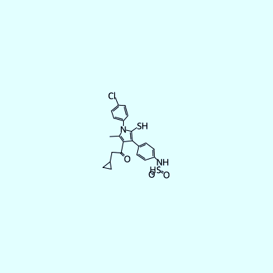 Cc1c(C(=O)CC2CC2)c(-c2ccc(N[SH](=O)=O)cc2)c(S)n1-c1ccc(Cl)cc1